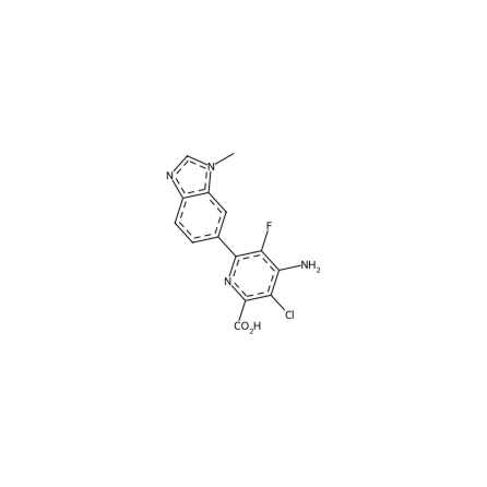 Cn1cnc2ccc(-c3nc(C(=O)O)c(Cl)c(N)c3F)cc21